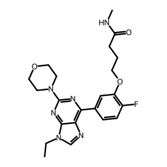 CCn1cnc2c(-c3ccc(F)c(OCCCC(=O)NC)c3)nc(N3CCOCC3)nc21